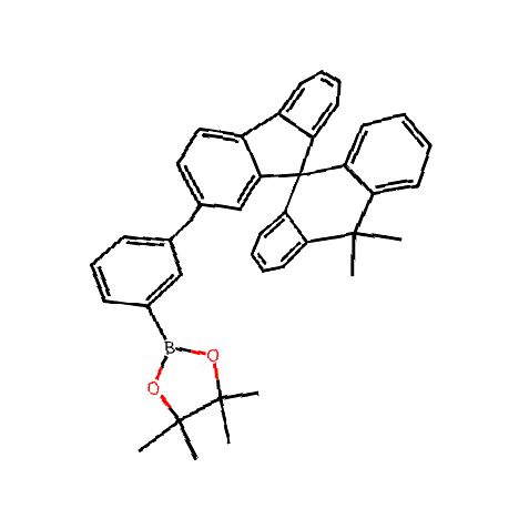 CC1(C)c2ccccc2C2(c3ccccc3-c3ccc(-c4cccc(B5OC(C)(C)C(C)(C)O5)c4)cc32)c2ccccc21